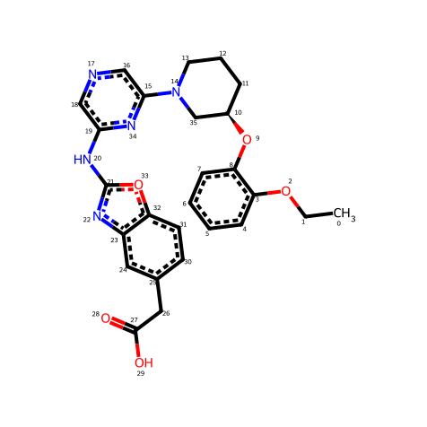 CCOc1ccccc1O[C@@H]1CCCN(c2cncc(Nc3nc4cc(CC(=O)O)ccc4o3)n2)C1